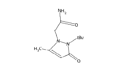 Cc1cc(=O)n(C(C)(C)C)n1CC(N)=O